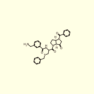 NCc1cccc(C(=O)NC(CSCc2ccccc2)C(=O)N2CC[C@@H]3[C@H]2C(=O)CN3C(=O)c2ccccc2)c1